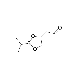 CC(C)B1OCC(CC=O)O1